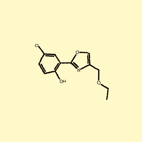 CCOCc1coc(-c2cc(Cl)ccc2O)n1